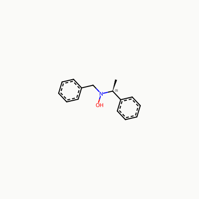 C[C@@H](c1ccccc1)N(O)Cc1ccccc1